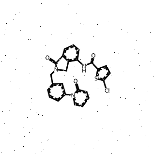 O=C(Nc1cccc2c1CN(Cc1cccc(-n3ccccc3=O)c1)C2=O)c1ccc(Cl)s1